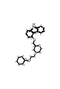 c1ccc2c(c1)[nH]c1cccc(OCC3CN(CCOC4CCCCC4)CCO3)c12